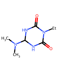 CCN1C(=O)NC(N(C)C)NC1=O